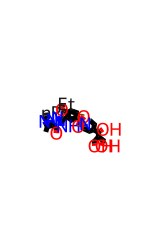 CCCc1nc(C)c2c(=O)[nH]c(-c3cc(S(=O)(=O)N4CCC(C(O)C(CO)CO)CC4)ccc3OCC)nn12